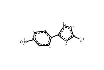 O=[N+]([O-])c1ccc(-c2noc(S)n2)cc1